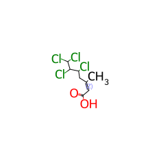 C/C(=C/C(=O)O)CC(Cl)C(Cl)C(Cl)Cl